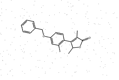 CC1=C(c2ccc(OCc3ccccc3)cc2C)C(C)OC1=O